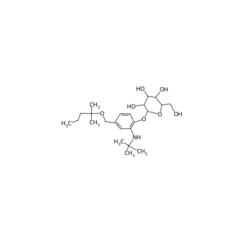 CCCC(C)(C)OCc1ccc(OC2OC(CO)C(O)C(O)C2O)c(NC(C)(C)C)c1